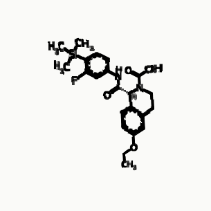 CCOc1ccc2c(c1)CCN(C(=O)O)[C@H]2C(=O)Nc1ccc([Si](C)(C)C)c(F)c1